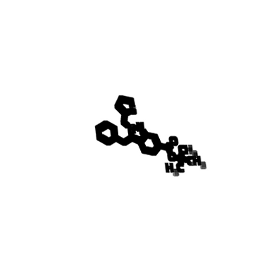 CC(C)(C)OC(=O)c1ccc2c(Cc3ccccc3)n(Cc3cccs3)nc2c1